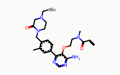 C=CC(=O)N(C)CCOc1c(N)ncnc1-c1ccc(CN2CCN(CC(C)(C)C)CC2=O)c(C)c1